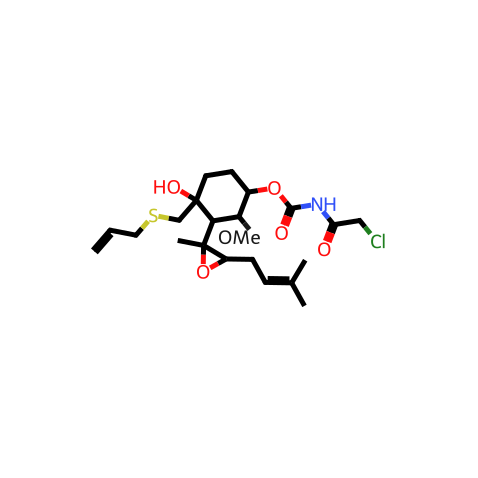 C=CCSCC1(O)CCC(OC(=O)NC(=O)CCl)C(OC)C1C1(C)OC1CC=C(C)C